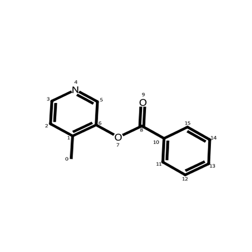 Cc1ccncc1OC(=O)c1ccccc1